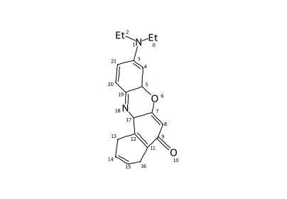 CCN(CC)C1=CC2OC3=CC(=O)C4=C(CC=CC4)C3N=C2C=C1